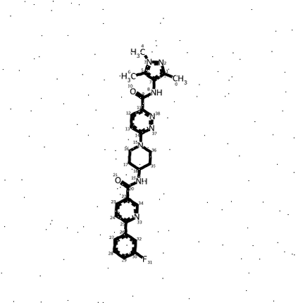 Cc1nn(C)c(C)c1NC(=O)c1ccc(N2CCC(NC(=O)c3ccc(-c4cccc(F)c4)nc3)CC2)nn1